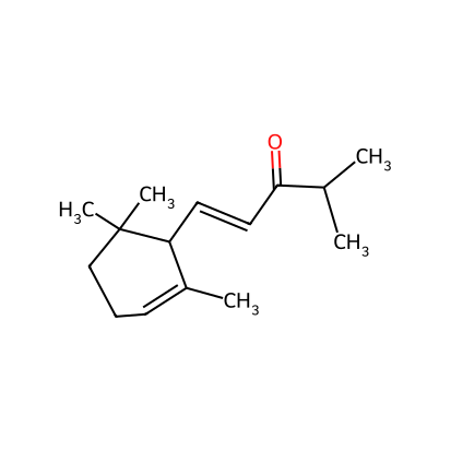 CC1=CCCC(C)(C)C1/C=C/C(=O)C(C)C